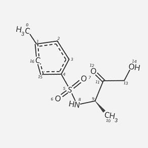 Cc1ccc(S(=O)(=O)N[C@H](C)C(=O)CO)cc1